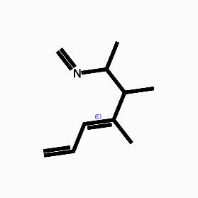 C=C/C=C(\C)C(C)C(C)N=C